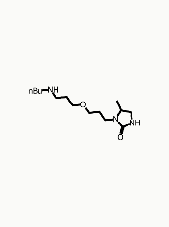 CCCCNCCCOCCCN1C(=O)NCC1C